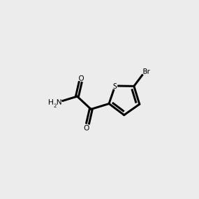 NC(=O)C(=O)c1ccc(Br)s1